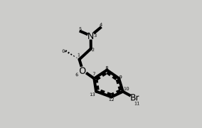 C[C@H](CN(C)C)Oc1ccc(Br)cc1